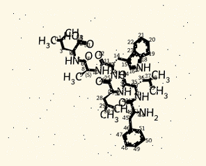 CC(C)C[C@H](NC(=O)[C@H](C)NC(=O)[C@H](Cc1c[nH]c2ccccc12)NC(=O)[C@H](CC(C)C)NC(=O)[C@H](CC(C)C)NC(=O)[C@@H](N)Cc1ccccc1)C(=O)O